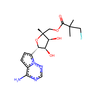 CC(C)(CF)C(=O)OC[C@@]1(C)O[C@@H](c2ccc3c(N)ncnn23)[C@H](O)[C@@H]1O